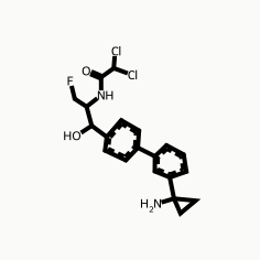 NC1(c2cccc(-c3ccc(C(O)C(CF)NC(=O)C(Cl)Cl)cc3)c2)CC1